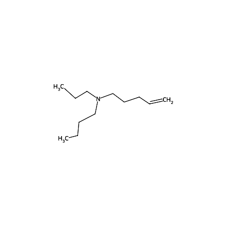 C=CCCCN(CCC)CCCC